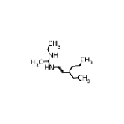 CCCC(/C=C/NC(C)NCC)CC